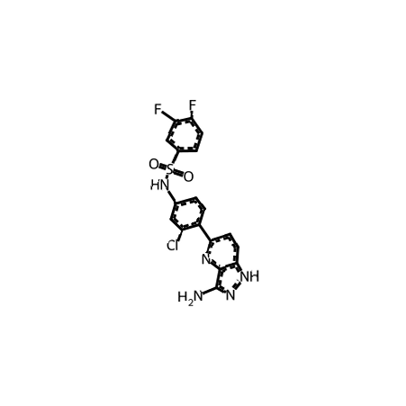 Nc1n[nH]c2ccc(-c3ccc(NS(=O)(=O)c4ccc(F)c(F)c4)cc3Cl)nc12